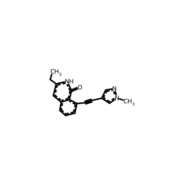 CCc1cc2cccc(C#Cc3cnn(C)c3)c2c(=O)[nH]1